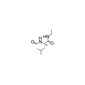 CCNC(=O)[C@H](CC(C)C)NC=O